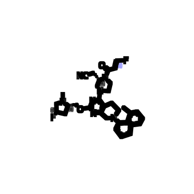 Cc1cccc2cccc(N3CCc4c(nc(OC[C@@H]5C[C@@H](F)CN5C)nc4N4CCN(C(=O)/C=C/F)[C@@H](CC#N)C4)C3)c12